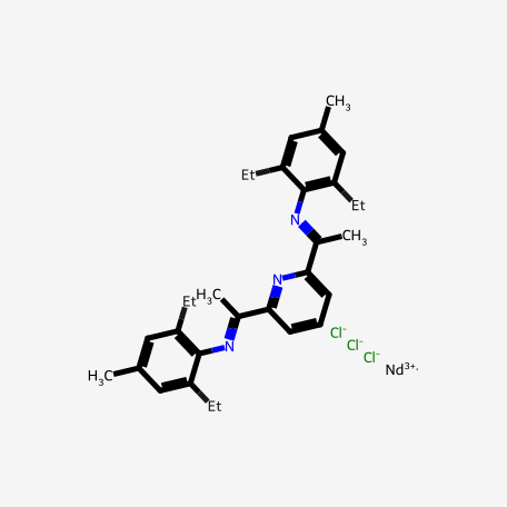 CCc1cc(C)cc(CC)c1N=C(C)c1cccc(C(C)=Nc2c(CC)cc(C)cc2CC)n1.[Cl-].[Cl-].[Cl-].[Nd+3]